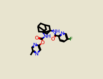 Cc1cnc(OC(=O)NC23CC4CC(C2)CC(NC(=O)c2ccc(F)cn2)(C4)C3)cn1